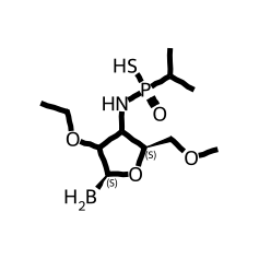 B[C@@H]1O[C@H](COC)C(NP(=O)(S)C(C)C)C1OCC